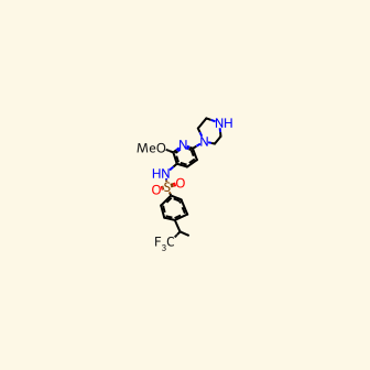 COc1nc(N2CCNCC2)ccc1NS(=O)(=O)c1ccc(C(C)C(F)(F)F)cc1